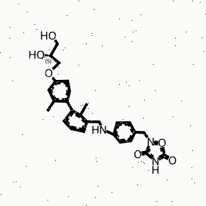 Cc1cc(OC[C@@H](O)CO)ccc1-c1cccc(CNc2ccc(Cn3oc(=O)[nH]c3=O)cc2)c1C